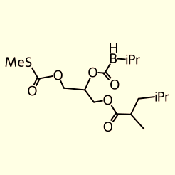 CSC(=O)OCC(COC(=O)C(C)CC(C)C)OC(=O)BC(C)C